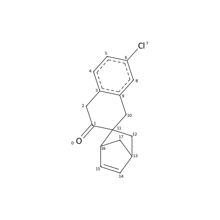 O=C1Cc2ccc(Cl)cc2CC12CC1C=CC2C1